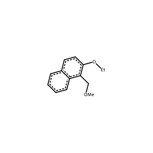 CCOc1ccc2ccccc2c1COC